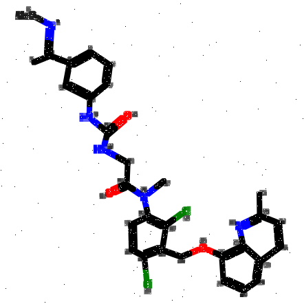 CO/N=C(\C)c1cccc(NC(=O)NCC(=O)N(C)c2ccc(Cl)c(COc3cccc4ccc(C)nc34)c2Cl)c1